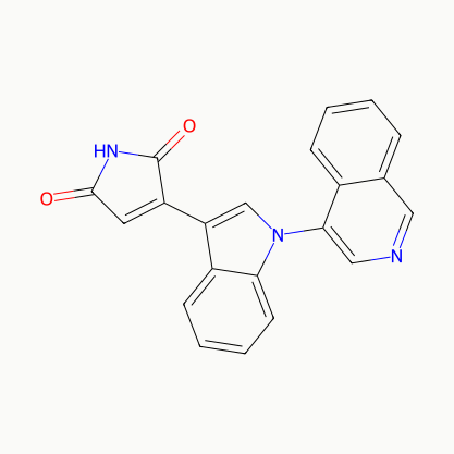 O=C1C=C(c2cn(-c3cncc4ccccc34)c3ccccc23)C(=O)N1